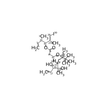 C=CC(C)C(OC(=O)CC(CCC(C)(O)C(O)C=C)O[Si](C)(C)C(C)(C)C)C(C)=CI